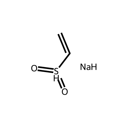 C=C[SH](=O)=O.[NaH]